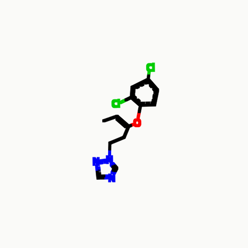 CC=C(CCn1cncn1)Oc1ccc(Cl)cc1Cl